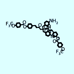 Nc1ccc(CC(CC(=O)/C=C/c2ccc(OC(=O)c3ccc(OC(F)(F)F)cc3)cc2)(Cc2ccc(N)cc2)C(O)(O)C(=O)/C=C/c2ccc(OC(=O)c3ccc(OC(F)(F)F)cc3)cc2)cc1